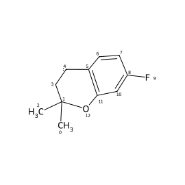 CC1(C)C[C]c2ccc(F)cc2O1